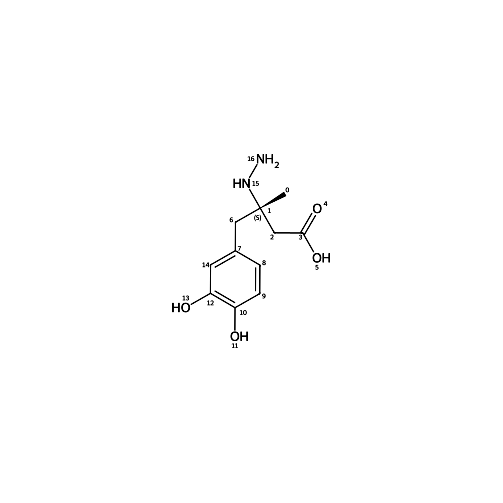 C[C@@](CC(=O)O)(Cc1ccc(O)c(O)c1)NN